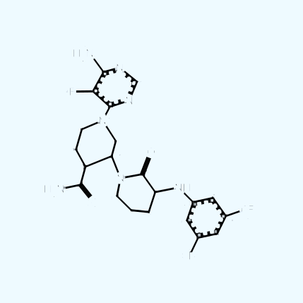 NC(=O)C1CCN(c2ncnc(N)c2F)CC1N1CCCC(Nc2cc(Cl)cc(C(F)(F)F)c2)C1=O